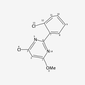 COc1cc(Cl)nc(-c2ccccc2Cl)n1